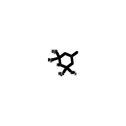 BC1(B)CN(C)CC(B)(B)N1